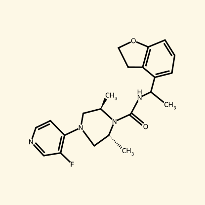 CC(NC(=O)N1[C@H](C)CN(c2ccncc2F)C[C@H]1C)c1cccc2c1CCO2